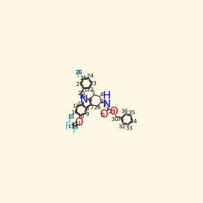 O=C(NC1CCc2c(c3cc(OC(F)(F)F)ccc3n2Cc2cccc(F)c2)C1)OCc1ccccc1